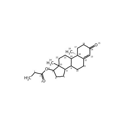 CCC(=O)OC1CCC2C3CCC4=CC(=O)CC[C@]4(C)C3CCC12C